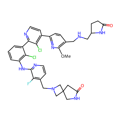 COc1nc(-c2ccnc(-c3cccc(Nc4nccc(CN5CC6(CNC(=O)C6)C5)c4F)c3Cl)c2Cl)ccc1CNCC1CCC(=O)N1